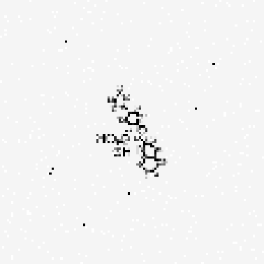 O=C(O)O.c1ccc2nc(COc3ccc(C4CCCC4)cc3)ccc2c1